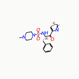 CN1CCN(S(=O)(=O)N[C@@H](Cc2ccccc2)C(=O)c2cs[c]n2)CC1